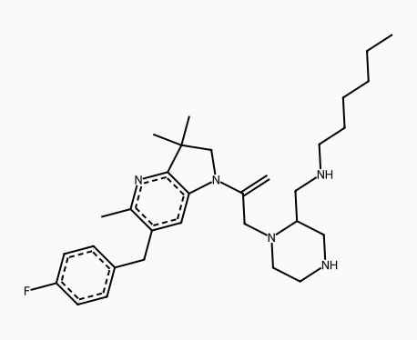 C=C(CN1CCNCC1CNCCCCCC)N1CC(C)(C)c2nc(C)c(Cc3ccc(F)cc3)cc21